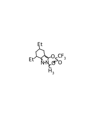 CCC1Cc2c(nn(C)c2OS(=O)(=O)C(F)(F)F)C(CC)C1